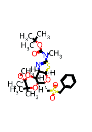 CO[C@@]1(C)O[C@@H]2[C@H]3N=C(N(C)C(=O)OC(C)(C)C)S[C@H]3O[C@H](CS(=O)(=O)Cc3ccccc3)[C@H]2OC1(C)C